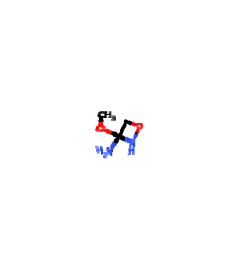 COC1(N)CON1